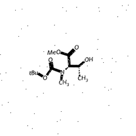 COC(=O)[C@H]([C@@H](C)O)N(C)C(=O)OC(C)(C)C